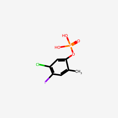 Cc1cc(I)c(Cl)cc1OP(=O)(O)O